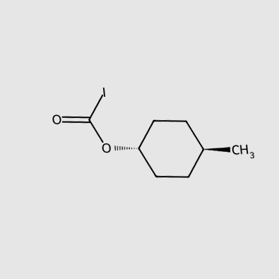 C[C@H]1CC[C@H](OC(=O)I)CC1